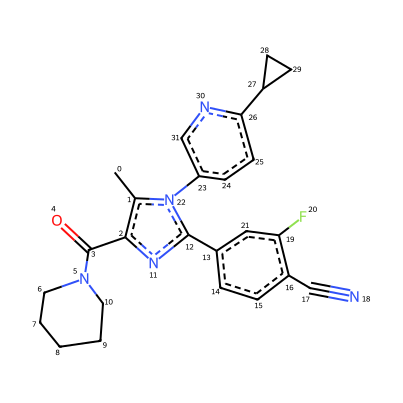 Cc1c(C(=O)N2CCCCC2)nc(-c2ccc(C#N)c(F)c2)n1-c1ccc(C2CC2)nc1